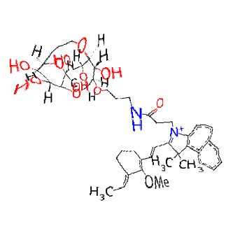 C/C=C1\CCCC(/C=C/C2=[N+](CCC(=O)NCCCO[C@H]3[C@H]4OC5[C@@H](CO)O[C@H](CCCO[C@@H]([C@@H]3O)[C@@H](CO)O4)[C@H](O)[C@H]5O)c3ccc4ccccc4c3C2(C)C)=C1OC